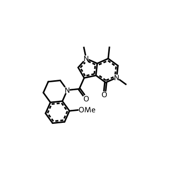 COc1cccc2c1N(C(=O)c1cn(C)c3c(C)cn(C)c(=O)c13)CCC2